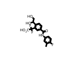 Cc1cc(NC(=O)c2ccc(C(O)CO)c(C(F)(F)C(=O)O)c2)ccc1F